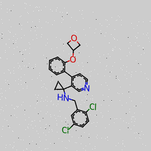 Clc1ccc(Cl)c(CNC2(c3cnccc3-c3ccccc3OC3COC3)CC2)c1